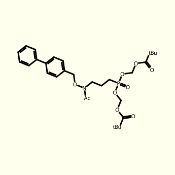 CC(=O)N(CCCP(=O)(OCOC(=O)C(C)(C)C)OCOC(=O)C(C)(C)C)OCc1ccc(-c2ccccc2)cc1